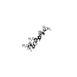 CCNC(=O)Nc1nc2cc(-c3cc(C)n(CC4CCCN4C(=O)OC(C)(C)C)c(=O)c3)c(F)cc2s1